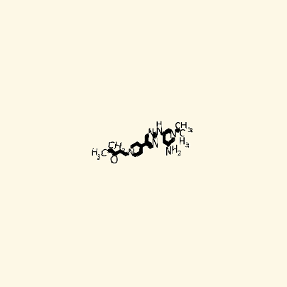 CC(C)C(=O)CCN1CCC(c2cnc(NC3CC(N)CN(C(C)C)C3)nc2)CC1